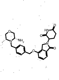 C[C@@H]1COC[C@H](N)N1Cc1ccc(COc2cccc3c2CN(C2CCC(=O)NC2=O)C3=O)cc1